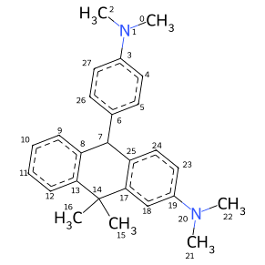 CN(C)c1ccc(C2c3ccccc3C(C)(C)c3cc(N(C)C)ccc32)cc1